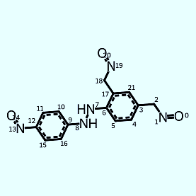 O=NCc1ccc(NNc2ccc(N=O)cc2)c(CN=O)c1